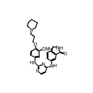 COc1cc(Nc2nccc(Nc3ccc4c(c3)C(=O)NC4)n2)ccc1OCCCN1CCCCC1